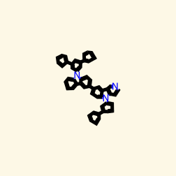 c1ccc(-c2cccc(-n3c4ccncc4c4cc(-c5ccc6c(c5)c5ccccc5n6-c5cc(-c6ccccc6)cc(-c6ccccc6)c5)ccc43)c2)cc1